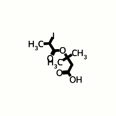 CC(I)C(=O)OC(C)(C)CC(=O)O